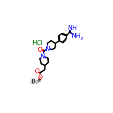 CC[C@H](C)OC(=O)CC1CCN(C(=O)N2CCC(c3ccc(C(=N)N)cc3)CC2)CC1.Cl